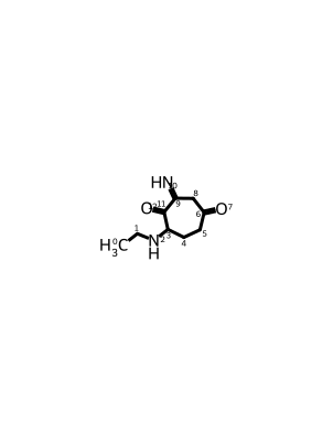 CCNC1CCC(=O)CC(=N)C1=O